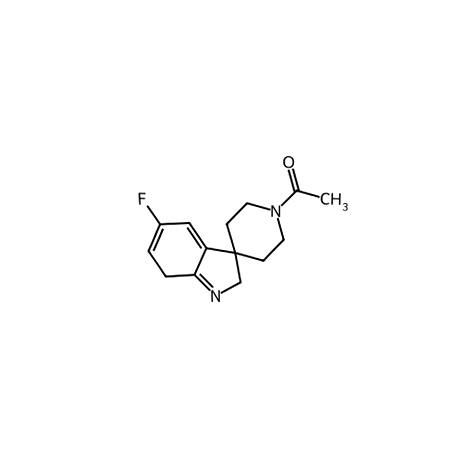 CC(=O)N1CCC2(CC1)CN=C1CC=C(F)C=C12